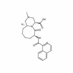 CN1C[C@@H]2CCCC[C@H](NC(=O)c3nccc4ccccc34)C(=O)N2[C@H](C(=O)O)C1